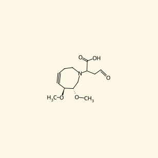 CO[C@H]1C#CCCN(C(CC=O)C(=O)O)C[C@@H]1OC